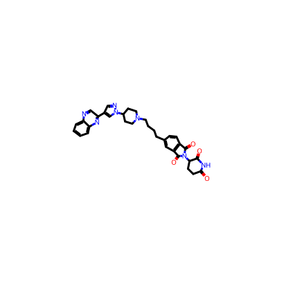 O=C1CCC(N2C(=O)c3ccc(CCCCN4CCC(n5cc(-c6cnc7ccccc7n6)cn5)CC4)cc3C2=O)C(=O)N1